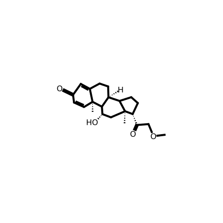 COCC(=O)[C@H]1CCC2[C@@H]3CCC4=CC(=O)C=C[C@]4(C)C3[C@@H](O)C[C@@]21C